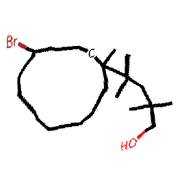 CC(C)(CO)CC(C)(C)C1(C)CCCCCCCC(Br)CCC1